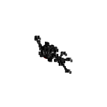 CCCCOc1c(C(=O)NCCCCCN)ccc(C(=O)NCCN2CCNC(=O)c3ccc(c(OCCCC)c3OCCCC)C(=O)NCCN(CCOCCOCCOC)CCNC(=O)c3ccc(c(OCCCC)c3OCCCC)C(=O)NCC2)c1OCCCC